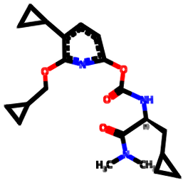 CN(C)C(=O)[C@H](CC1CC1)NC(=O)Oc1ccc(C2CC2)c(OCC2CC2)n1